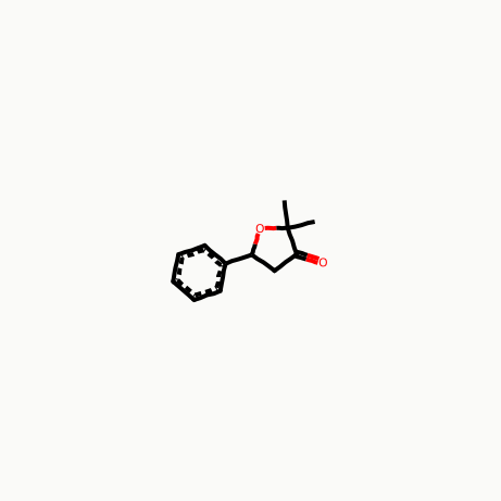 CC1(C)OC(c2ccccc2)CC1=O